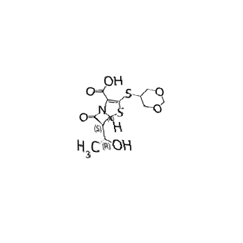 C[C@@H](O)[C@H]1C(=O)N2C(C(=O)O)=C(SC3COCOC3)S[C@H]12